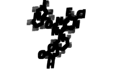 O=C1NCC2(CCCN(c3nc(OC[C@@]45CCCN4C[C@H](F)C5)nc4c(F)c(Cl)ncc34)C2)O1